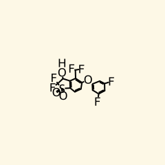 O=S1(=O)c2ccc(Oc3cc(F)cc(F)c3)c(C(F)F)c2C(O)C1(F)F